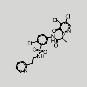 CCc1ccc(NC(=O)[C@H](C)n2ncc(Cl)c(Cl)c2=O)cc1S(=O)(=O)NCCc1ccccn1